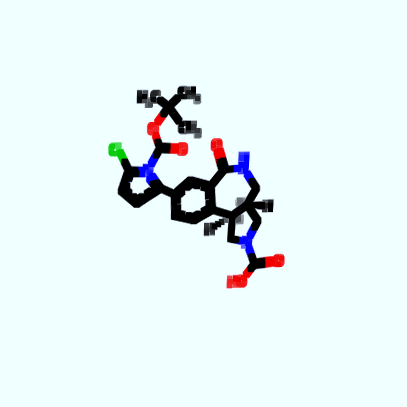 CC(C)(C)OC(=O)n1c(Cl)ccc1-c1ccc2c(c1)C(=O)NC[C@@H]1CN(C(=O)O)C[C@@H]21